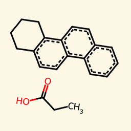 CCC(=O)O.c1ccc2c(c1)ccc1c3c(ccc12)CCCC3